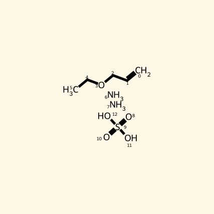 C=CCOCC.N.N.O=S(=O)(O)O